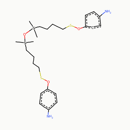 C[Si](C)(CCCCSOc1ccc(N)cc1)O[Si](C)(C)CCCCSOc1ccc(N)cc1